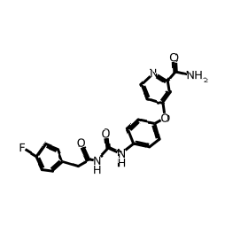 NC(=O)c1cc(Oc2ccc(NC(=O)NC(=O)Cc3ccc(F)cc3)cc2)ccn1